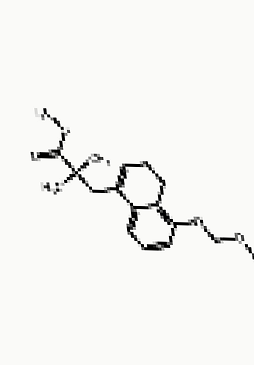 COCOc1cccc2c1CCC=C2CC(C)(C)C(=O)OC